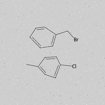 BrCc1ccccc1.Cc1ccc(Cl)cc1